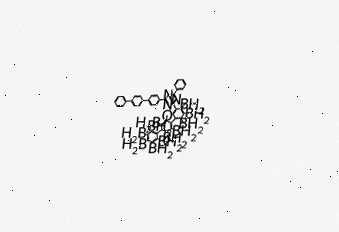 Bc1c(B)c(B)c(-c2c(B)c(B)c3c(oc4c(-c5nc(-c6ccccc6)nc(-c6ccc(-c7ccc(-c8ccccc8)cc7)cc6)n5)c(B)c(B)c(B)c43)c2B)c(B)c1B